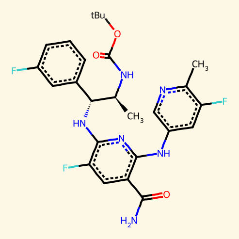 Cc1ncc(Nc2nc(N[C@H](c3cccc(F)c3)[C@H](C)NC(=O)OC(C)(C)C)c(F)cc2C(N)=O)cc1F